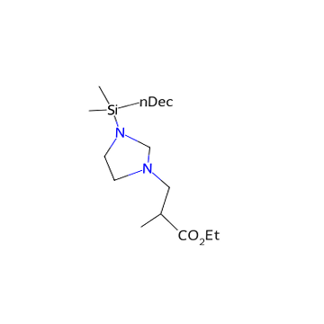 CCCCCCCCCC[Si](C)(C)N1CCN(CC(C)C(=O)OCC)C1